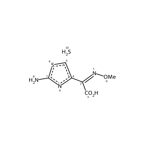 CON=C(C(=O)O)c1csc(N)n1.S